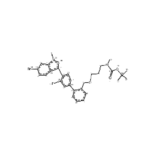 CN(CCCOCc1ccccc1-c1ccc(-c2nn(C)c3cc(Br)ccc23)c(F)c1)C(=O)OC(C)(C)C